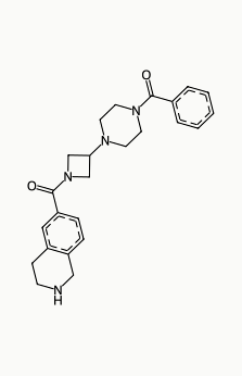 O=C(c1ccccc1)N1CCN(C2CN(C(=O)c3ccc4c(c3)CCNC4)C2)CC1